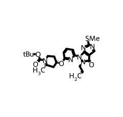 C=CCn1c(=O)c2cnc(SC)nc2n1-c1cccc(O[C@@H]2CCN(C(=O)OC(C)(C)C)[C@@H](C)C2)n1